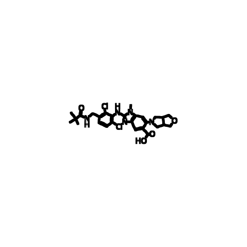 Cn1c(Nc2c(Cl)ccc(CNC(=O)C(C)(C)C)c2Cl)nc2cc(C(=O)O)c(N3CC4COCC4C3)cc21